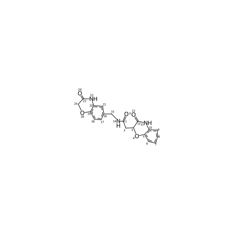 O=C(CC1Oc2ccccc2NC1=O)NCc1ccc2c(c1)NC(=O)CO2